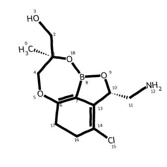 C[C@@]1(CO)COC2=C3B(O[C@H](CN)C3=C(Cl)CC2)O1